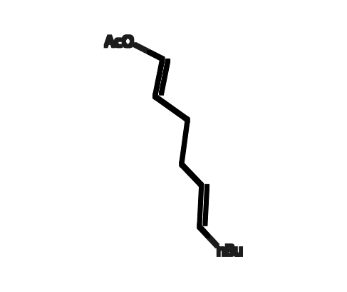 CCCCC=CCCC=COC(C)=O